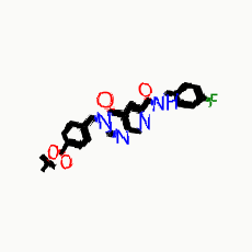 CC(C)(C)OC(=O)c1ccc(Cn2cnc3cnc(C(=O)NCc4ccc(F)cc4)cc3c2=O)cc1